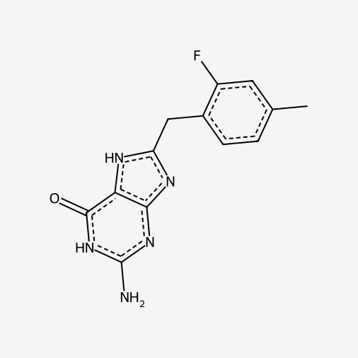 Cc1ccc(Cc2nc3nc(N)[nH]c(=O)c3[nH]2)c(F)c1